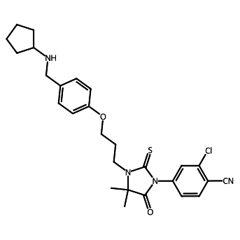 CC1(C)C(=O)N(c2ccc(C#N)c(Cl)c2)C(=S)N1CCCOc1ccc(CNC2CCCC2)cc1